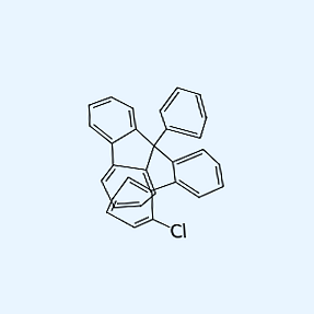 Clc1ccccc1-c1ccccc1C1(c2ccccc2)c2ccccc2-c2ccccc21